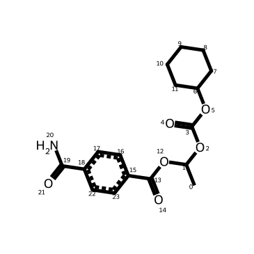 CC(OC(=O)OC1CCCCC1)OC(=O)c1ccc(C(N)=O)cc1